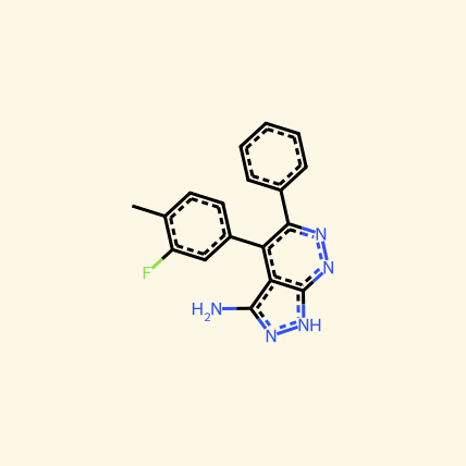 Cc1ccc(-c2c(-c3ccccc3)nnc3[nH]nc(N)c23)cc1F